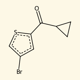 O=C(c1cc(Br)cs1)C1CC1